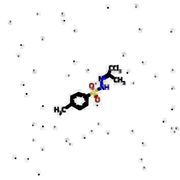 CC(=NNS(=O)(=O)c1ccc(C)cc1)C(Cl)(Cl)Cl